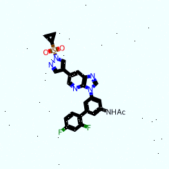 CC(=O)Nc1cc(-c2ccc(F)cc2F)cc(-n2cnc3cc(-c4cnn(S(=O)(=O)C5CC5)c4)cnc32)c1